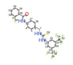 O=C(Nc1ccc(CNC(=S)Nc2cc(C(F)(F)F)cc(C(F)(F)F)c2)cc1)c1ccccc1F